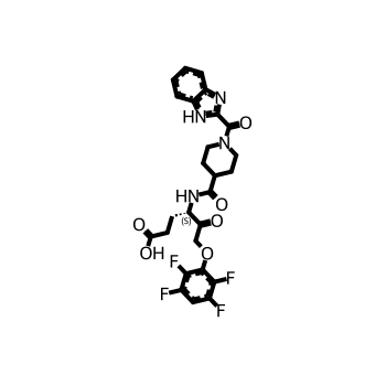 O=C(O)CC[C@H](NC(=O)C1CCN(C(=O)c2nc3ccccc3[nH]2)CC1)C(=O)COc1c(F)c(F)cc(F)c1F